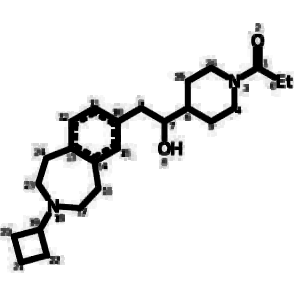 CCC(=O)N1CCC(C(O)Cc2ccc3c(c2)CCN(C2CCC2)CC3)CC1